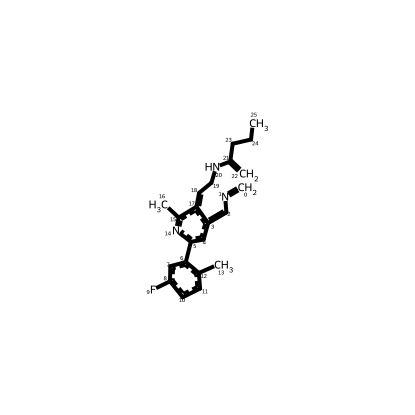 C=N/C=c1/cc(-c2cc(F)ccc2C)nc(C)/c1=C/CNC(=C)CCC